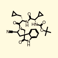 CC(C)(C)OC(=O)N[C@H](C(=O)N[C@@H](CC1CC1)C(=O)N1C[C@]2(CC1C#N)C(=O)Nc1ccccc12)C1CC1